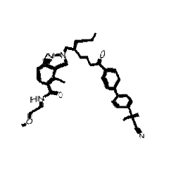 CCCC(CCCC(=O)c1ccc(-c2ccc(C(C)(C)C#N)cc2)cc1)Cn1cc2c(C)c(C(=O)NCCOC)ccc2n1